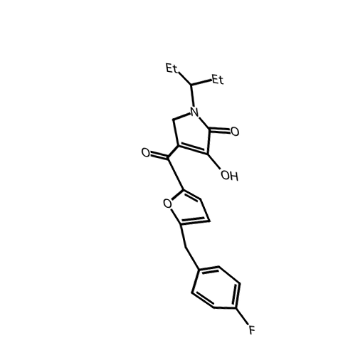 CCC(CC)N1CC(C(=O)c2ccc(Cc3ccc(F)cc3)o2)=C(O)C1=O